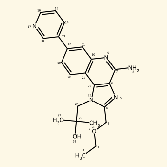 CCOCc1nc2c(N)nc3cc(-c4cccnc4)ccc3c2n1CC(C)(C)O